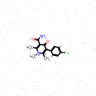 Cc1c(C(N)=O)c(=O)c(-c2ccc(F)cc2)c(C)n1C